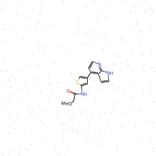 COCC(=O)Nc1cc(-c2ccnc3[nH]ccc23)cs1